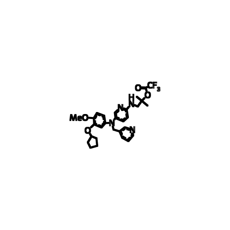 COc1ccc(N(Cc2cccnc2)c2ccc(NCC(C)(C)OC(=O)C(F)(F)F)nc2)cc1OC1CCCC1